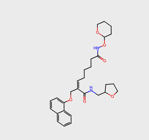 O=C(CCCCC=C(COc1cccc2ccccc12)C(=O)NCC1CCCO1)NOC1CCCCO1